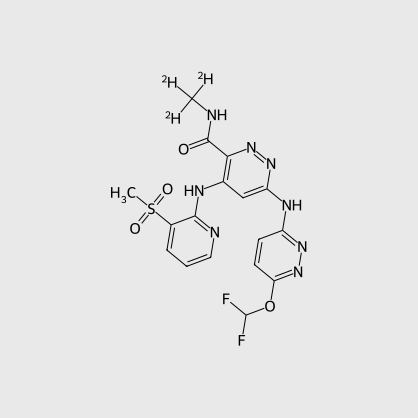 [2H]C([2H])([2H])NC(=O)c1nnc(Nc2ccc(OC(F)F)nn2)cc1Nc1ncccc1S(C)(=O)=O